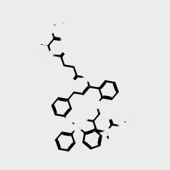 CCCN(CC(COc1ccccc1/C(=C/Cc1ccccc1)OC(=O)CCC(=O)N[C@H](C(=O)OC(C)(C)C)C(C)C)O[Si](c1ccccc1)(c1ccccc1)C(C)(C)C)C(=O)OC(C)(C)C